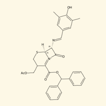 CC(=O)OCC1CS[C@H]2[C@H](N=Cc3cc(C)c(O)c(C)c3)C(=O)[N+]2=C1C(=O)OC(c1ccccc1)c1ccccc1